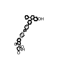 O=C1CCC(N2Cc3cc(N4CCN(C5CC6(CCN(c7ccc(C8c9ccc(O)cc9CC[C@@H]8c8ccccc8)cc7)CC6)C5)CC4)ccc3C2=O)C(=O)N1